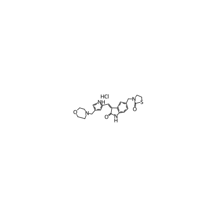 Cl.O=C1Nc2ccc(CN3CCSC3=O)cc2C1=Cc1cc(CN2CCOCC2)c[nH]1